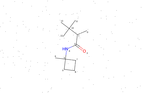 CC(C(=O)NC1(C)CCC1)C(C)(C)C